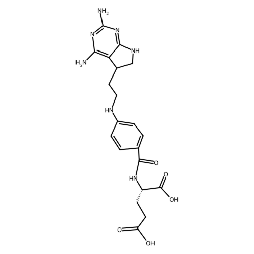 Nc1nc(N)c2c(n1)NCC2CCNc1ccc(C(=O)N[C@@H](CCC(=O)O)C(=O)O)cc1